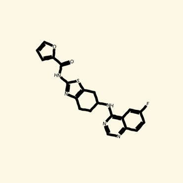 O=C(Nc1nc2c(s1)CC(Nc1ncnc3ccc(F)cc13)CC2)c1ccco1